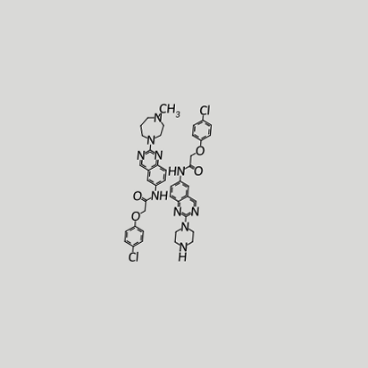 CN1CCCN(c2ncc3cc(NC(=O)COc4ccc(Cl)cc4)ccc3n2)CC1.O=C(COc1ccc(Cl)cc1)Nc1ccc2nc(N3CCNCC3)ncc2c1